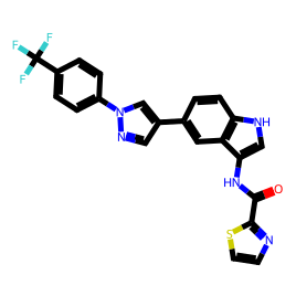 O=C(Nc1c[nH]c2ccc(-c3cnn(-c4ccc(C(F)(F)F)cc4)c3)cc12)c1nccs1